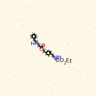 CCOC(=O)CNCCc1ccc(CCOC(=O)CCNCCc2ccccc2)cc1